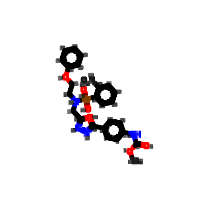 CC(C)(C)OC(=O)Nc1ccc(-c2nnc(CN(CCOc3ccccc3)S(=O)(=O)c3ccccc3[N+](=O)[O-])o2)cc1